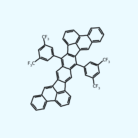 FC(F)(F)c1cc(-c2c3cc4c(cc3c(-c3cc(C(F)(F)F)cc(C(F)(F)F)c3)c3c5cc6ccccc6c6cccc(c23)c65)c2cccc3c5ccccc5cc4c32)cc(C(F)(F)F)c1